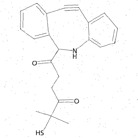 CC(C)(S)C(=O)CCC(=O)C1Nc2ccccc2C#Cc2ccccc21